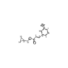 O=C(C=Cc1cccc(Br)c1)OCC1CC1